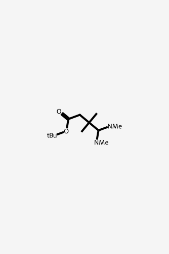 CNC(NC)C(C)(C)CC(=O)OC(C)(C)C